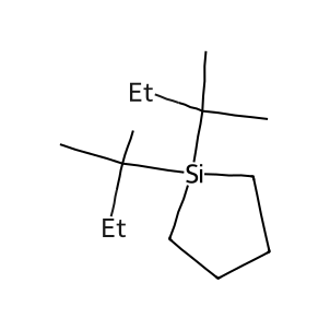 CCC(C)(C)[Si]1(C(C)(C)CC)CCCC1